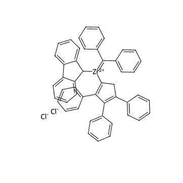 [Cl-].[Cl-].c1ccc(C2=C(c3ccccc3)C(c3ccccc3)=[C]([Zr+2](=[C](c3ccccc3)c3ccccc3)[CH]3c4ccccc4-c4ccccc43)C2)cc1